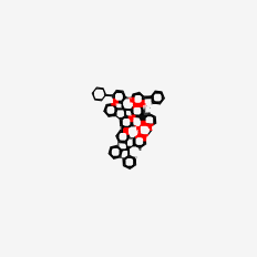 c1ccc(C2(c3ccccc3)c3ccccc3Oc3ccc(N(c4cccc(-n5c6ccccc6c6ccccc65)c4)c4ccc5c(c4)C4(c6cc(C7CCCCC7)ccc6Oc6ccc(C7CCCCC7)cc64)c4ccccc4-5)cc32)cc1